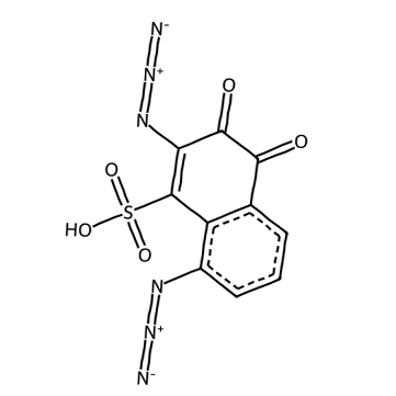 [N-]=[N+]=NC1=C(S(=O)(=O)O)c2c(N=[N+]=[N-])cccc2C(=O)C1=O